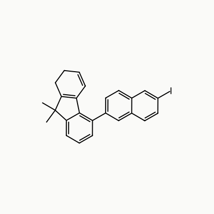 CC1(C)C2=C(C=CCC2)c2c(-c3ccc4cc(I)ccc4c3)cccc21